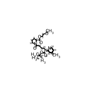 COCCOC(=O)[C@H]1CCCN1C(=O)CCCN(C(=O)OC(C)(C)C)c1cc(C)ccn1